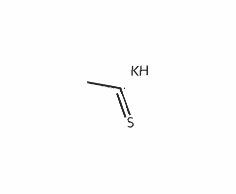 C[C]=S.[KH]